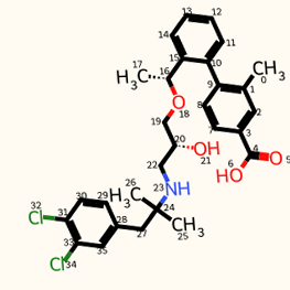 Cc1cc(C(=O)O)ccc1-c1ccccc1[C@@H](C)OC[C@H](O)CNC(C)(C)Cc1ccc(Cl)c(Cl)c1